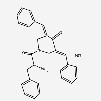 Cl.NC(Cc1ccccc1)C(=O)N1CC(=Cc2ccccc2)C(=O)C(=Cc2ccccc2)C1